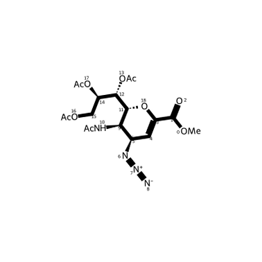 COC(=O)C1=C[C@@H](N=[N+]=[N-])[C@@H](NC(C)=O)[C@H]([C@@H](OC(C)=O)[C@@H](COC(C)=O)OC(C)=O)O1